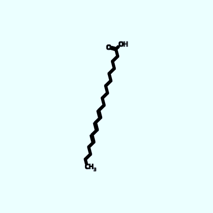 CCCCC=CC=CC=CCCCCCCCCCC(=O)O